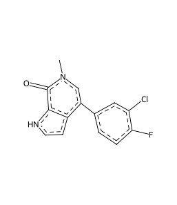 Cn1cc(-c2ccc(F)c(Cl)c2)c2cc[nH]c2c1=O